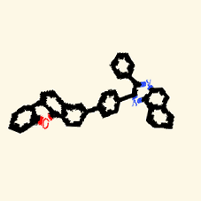 c1ccc(-c2nc3ccc4ccccc4c3nc2-c2ccc(-c3ccc4c(ccc5c6ccccc6oc45)c3)cc2)cc1